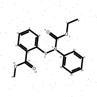 CCOC(=O)N(Sc1ccccc1C(=O)OC)c1ccccc1